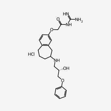 Cl.N=C(N)NC(=O)COc1ccc2c(c1)CC(NC[C@H](O)COc1ccccc1)CCC2